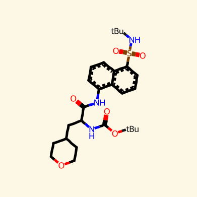 CC(C)(C)NS(=O)(=O)c1cccc2c(NC(=O)C(CC3CCOCC3)NC(=O)OC(C)(C)C)cccc12